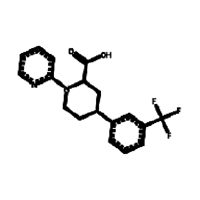 O=C(O)C1CC(c2cccc(C(F)(F)F)c2)CCN1c1ccccn1